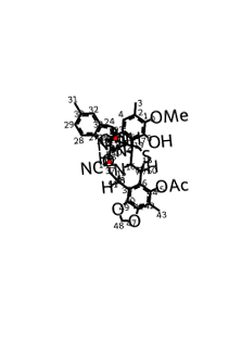 COc1c(C)cc2c(c1O)C1NC(C2)[C@H](C#N)N2C1[C@@H]1SC[C@]3(NCCc4c3[nH]c3ccc(C)cc43)C(=O)OC[C@H]2c2c3c(c(C)c(OC(C)=O)c21)OCO3